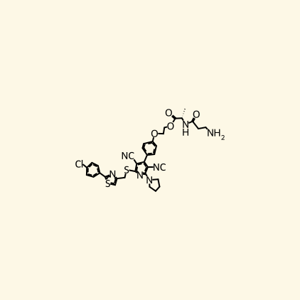 [C-]#[N+]c1c(N2CCCC2)nc(SCc2csc(-c3ccc(Cl)cc3)n2)c(C#N)c1-c1ccc(OCCOC(=O)[C@H](C)NC(=O)CCN)cc1